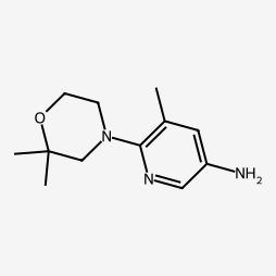 Cc1cc(N)cnc1N1CCOC(C)(C)C1